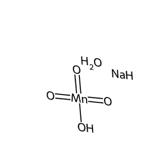 O.[NaH].[O]=[Mn](=[O])(=[O])[OH]